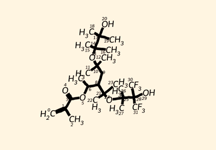 C=C(C)C(=O)OC(C)C(CC(C)(C)OC(C)(C)C(C)(C)O)C(C)(C)OC(C)(C)C(O)(C(F)(F)F)C(F)(F)F